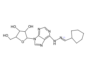 OCC1OC(n2cnc3c(N/N=C/C4CCCCC4)ncnc32)C(O)C1O